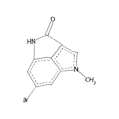 Cn1cc2c3c(cc(Br)cc31)NC2=O